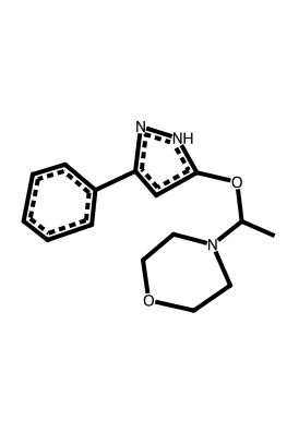 CC(Oc1cc(-c2ccccc2)n[nH]1)N1CCOCC1